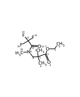 CCOC(=O)C(C)(C)CN(C)C(=O)C(F)(F)F